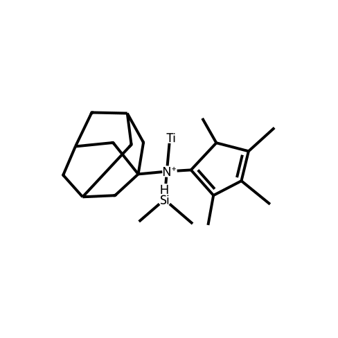 CC1=C(C)C(C)C([N+]([Ti])([SiH](C)C)C23CC4CC(CC(C4)C2)C3)=C1C